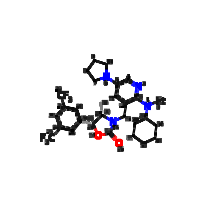 CCN(c1ncc(N2CCCC2)cc1CN1C(=O)O[C@H](c2cc(C(F)(F)F)cc(C(F)(F)F)c2)[C@@H]1C)C1CCCCC1